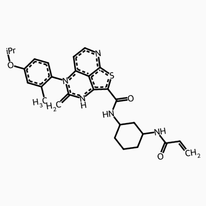 C=CC(=O)NC1CCCC(NC(=O)c2sc3nccc4c3c2[nH]c(=C)n4-c2ccc(OC(C)C)cc2C)C1